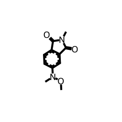 CON(C)c1ccc2c(c1)C(=O)N(C)C2=O